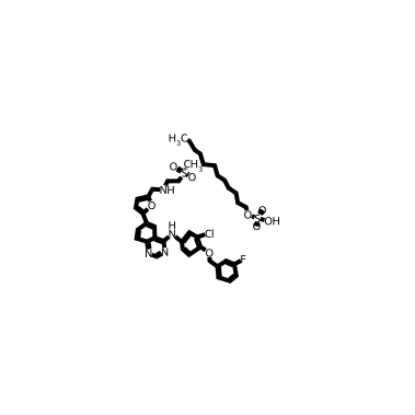 CCCCCCCCCCCCOS(=O)(=O)O.CS(=O)(=O)CCNCc1ccc(-c2ccc3ncnc(Nc4ccc(OCc5cccc(F)c5)c(Cl)c4)c3c2)o1